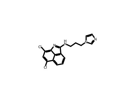 Clc1cc(Cl)c2cccc3c2c1N=C3NCCCn1ccnc1